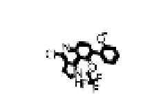 COc1ccccc1-c1ccc2nc(Cl)c3c(c2c1OCC(F)(F)F)NCC3